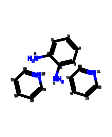 Nc1ccccc1N.c1ccncc1.c1ccncc1